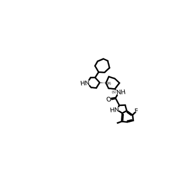 Cc1ccc(F)c2c1NC(C(=O)N[C@H]1CCC[C@@H](C3CCNCC3C3CCCCCC3)C1)C2